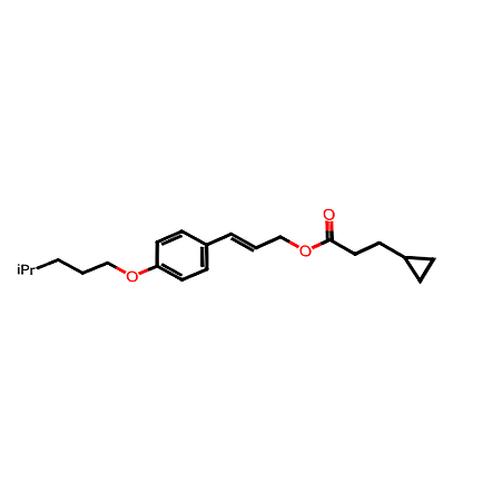 CC(C)CCCOc1ccc(/C=C/COC(=O)CCC2CC2)cc1